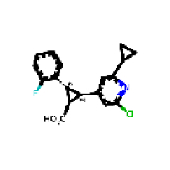 O=C(O)C1[C@H](c2cc(Cl)nc(C3CC3)c2)[C@H]1c1ccccc1F